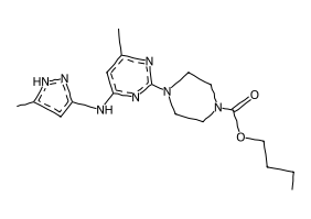 CCCCOC(=O)N1CCN(c2nc(C)cc(Nc3cc(C)[nH]n3)n2)CC1